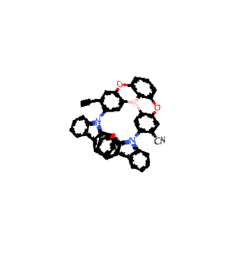 C#Cc1cc2c(cc1-n1c3ccccc3c3ccccc31)B1c3cc(-n4c5ccccc5c5ccccc54)c(C#N)cc3Oc3cccc(c31)O2